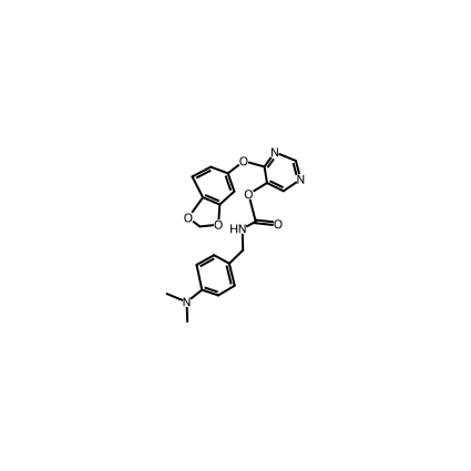 CN(C)c1ccc(CNC(=O)Oc2cncnc2Oc2ccc3c(c2)OCO3)cc1